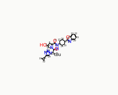 CC(C)(C)C(C(=O)N1C[C@H](O)C[C@H]1C(=O)N[C@H]1CC[C@H](c2nc3ccccc3o2)CC1)n1cc(C2CC2)nn1